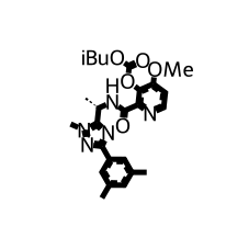 COc1ccnc(C(=O)N[C@@H](C)c2nc(-c3cc(C)cc(C)c3)nn2C)c1OC(=O)OCC(C)C